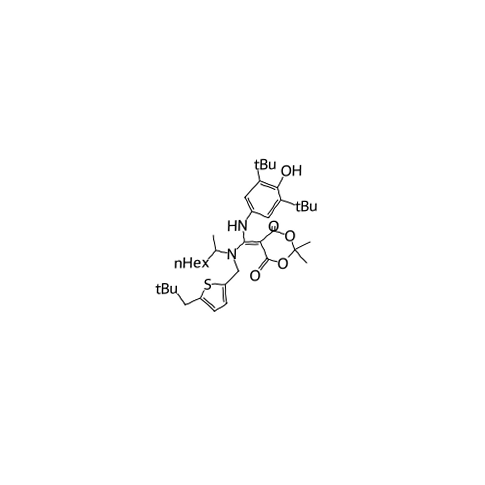 CCCCCCC(C)N(Cc1ccc(CC(C)(C)C)s1)C(Nc1cc(C(C)(C)C)c(O)c(C(C)(C)C)c1)=C1C(=O)OC(C)(C)OC1=O